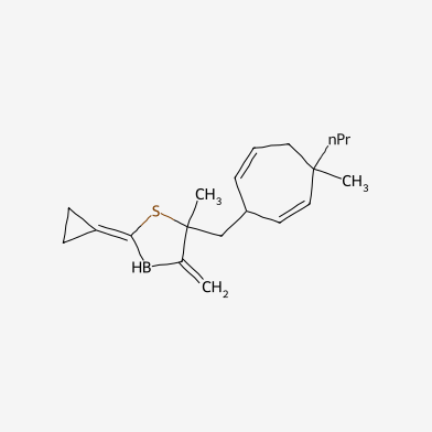 C=C1BC(=C2CC2)SC1(C)CC1C=CCC(C)(CCC)C=C1